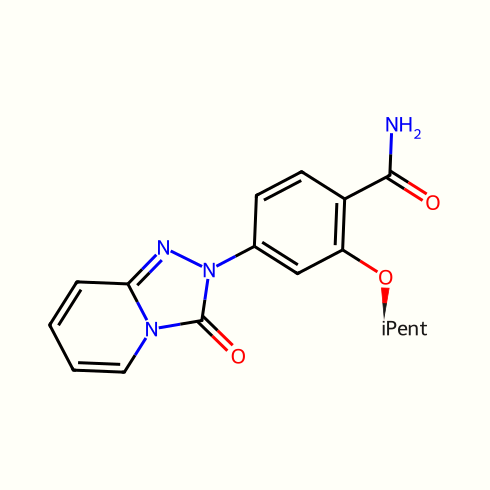 CCC[C@H](C)Oc1cc(-n2nc3ccccn3c2=O)ccc1C(N)=O